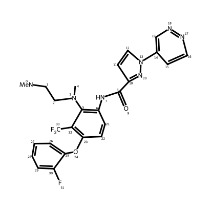 CNCCN(C)c1c(NC(=O)c2ccn(-c3ccnnc3)n2)ccc(Oc2ccccc2F)c1C(F)(F)F